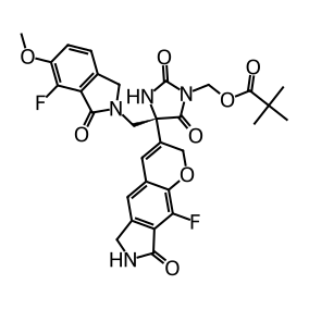 COc1ccc2c(c1F)C(=O)N(C[C@@]1(C3=Cc4cc5c(c(F)c4OC3)C(=O)NC5)NC(=O)N(COC(=O)C(C)(C)C)C1=O)C2